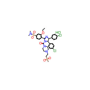 CCOc1cc(S(=O)(=O)N(C)C)ccc1C1=NC(c2ccc(Cl)cc2)C(c2ccc(Cl)cc2)N1C(=O)N1CCN(CCS(C)(=O)=O)CC1.Cl